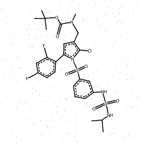 CC(C)NS(=O)(=O)Nc1cccc(S(=O)(=O)n2c(-c3ccc(F)cc3F)cc(CN(C)C(=O)OC(C)(C)C)c2Cl)c1